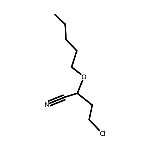 CCCCCOC(C#N)CCCl